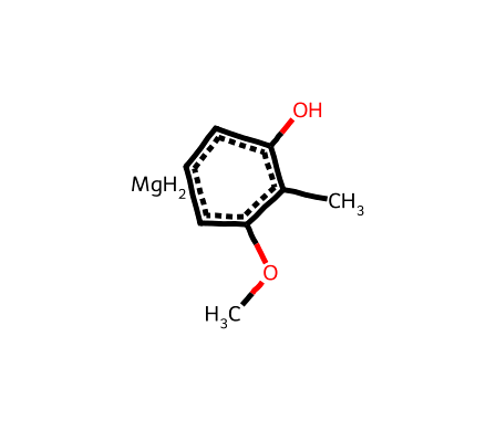 COc1cccc(O)c1C.[MgH2]